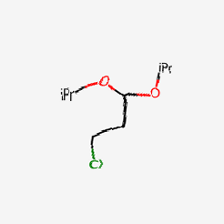 CC(C)OC(CCCl)OC(C)C